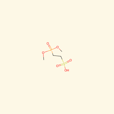 COP(=O)(CCS(=O)(=O)O)OC